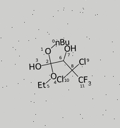 CCCCOC(O)(OCC)C(O)C(Cl)(Cl)C(F)(F)F